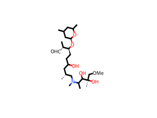 COC[C@@](C)(O)C(O)C(C)N(C)C[C@H](C)CC(O)CC[C@H](O[C@H]1CC(C)CC(C)O1)[C@@H](C)C=O